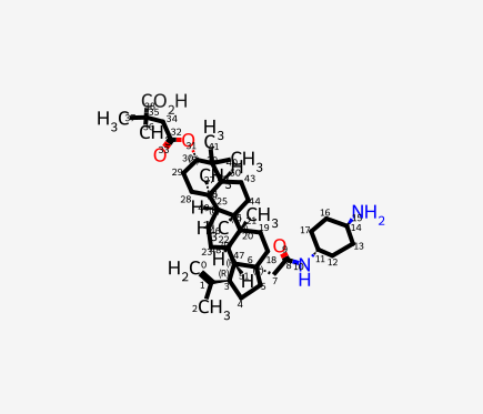 C=C(C)[C@@H]1CC[C@]2(CC(=O)N[C@H]3CC[C@H](N)CC3)CC[C@]3(C)[C@H](CC[C@@H]4[C@@]5(C)CC[C@H](OC(=O)CC(C)(C)C(=O)O)C(C)(C)[C@@H]5CC[C@]43C)[C@@H]12